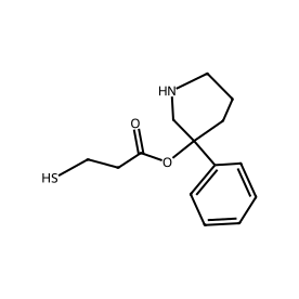 O=C(CCS)OC1(c2ccccc2)CCCNC1